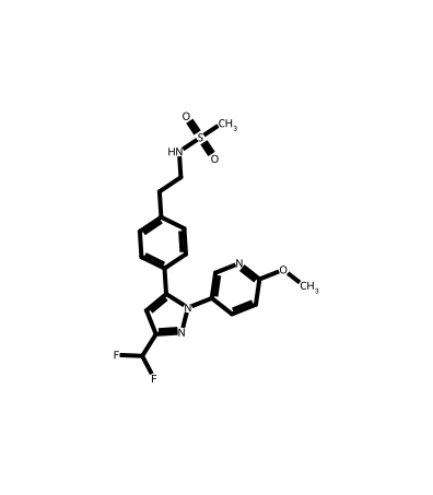 COc1ccc(-n2nc(C(F)F)cc2-c2ccc(CCNS(C)(=O)=O)cc2)cn1